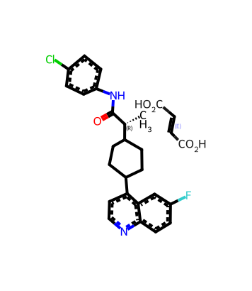 C[C@@H](C(=O)Nc1ccc(Cl)cc1)C1CCC(c2ccnc3ccc(F)cc23)CC1.O=C(O)/C=C/C(=O)O